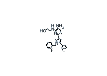 Nc1cnc(-c2cc(-c3ccon3)n(Cc3ccccc3F)n2)nc1NCCO